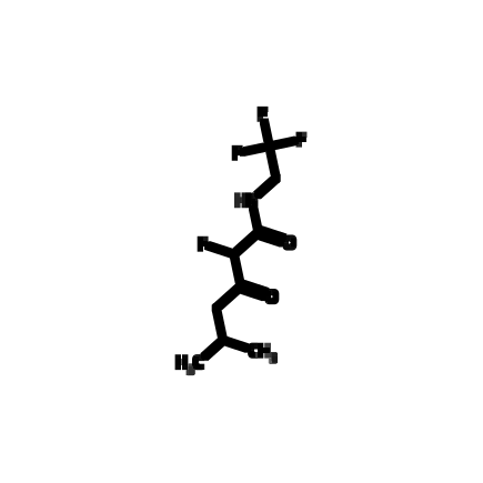 CC(C)CC(=O)C(F)C(=O)NCC(F)(F)F